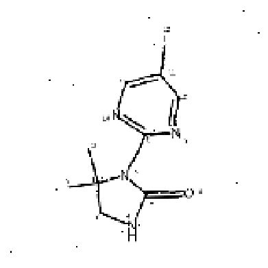 CC1(C)CNC(=O)N1c1ncc(I)cn1